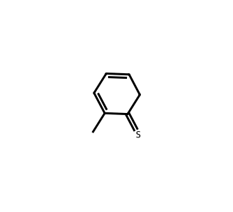 CC1=CC=CCC1=S